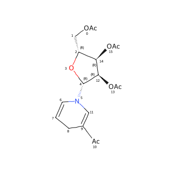 CC(=O)OC[C@H]1O[C@@H](N2C=CCC(C(C)=O)=C2)[C@H](OC(C)=O)[C@@H]1OC(C)=O